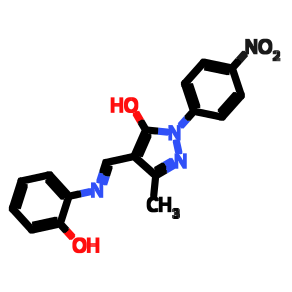 Cc1nn(-c2ccc([N+](=O)[O-])cc2)c(O)c1/C=N/c1ccccc1O